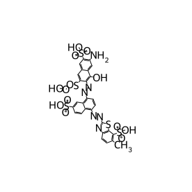 Cc1ccc2nc(N=Nc3ccc(N=Nc4c(SOOO)cc5cc(S(=O)(=O)O)c(N)cc5c4O)c4cc(S(=O)(=O)O)ccc34)sc2c1S(=O)(=O)O